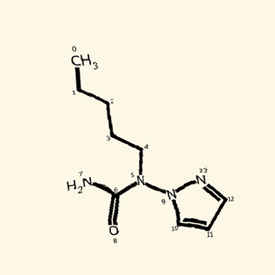 CCCCCN(C(N)=O)n1cccn1